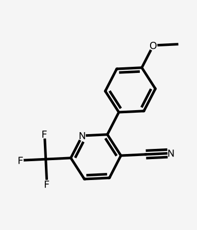 COc1ccc(-c2nc(C(F)(F)F)ccc2C#N)cc1